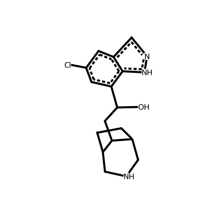 OC(CC1C2CCC1CNC2)c1cc(Cl)cc2cn[nH]c12